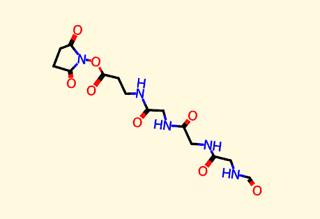 O=CNCC(=O)NCC(=O)NCC(=O)NCCC(=O)ON1C(=O)CCC1=O